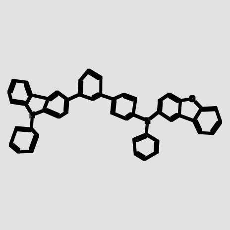 c1ccc(N(c2ccc(-c3cccc(-c4ccc5c(c4)c4ccccc4n5-c4ccccc4)c3)cc2)c2ccc3oc4ccccc4c3c2)cc1